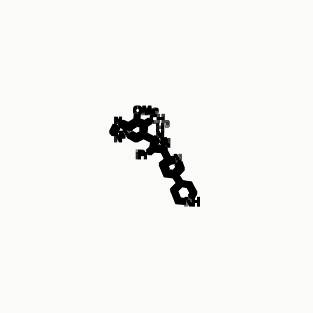 COc1c(C)c(-c2[nH]nc(-c3ccc(C4CCNCC4)cn3)c2C(C)C)cn2ncnc12